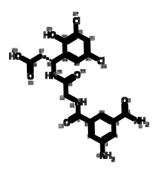 NC(=O)c1cc(N)cc(C(=O)NCC(=O)N[C@H](CC(=O)O)c2cc(Cl)cc(Cl)c2O)c1